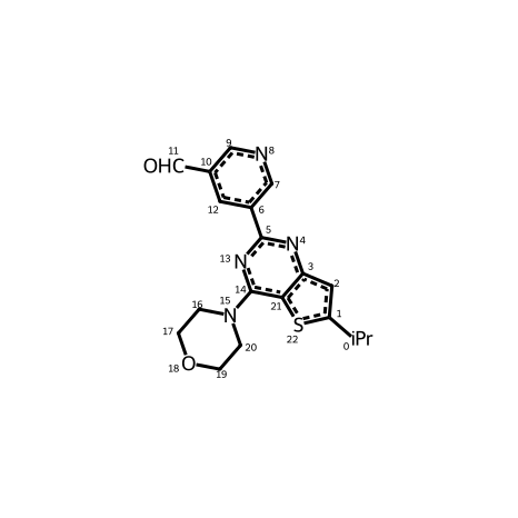 CC(C)c1cc2nc(-c3cncc(C=O)c3)nc(N3CCOCC3)c2s1